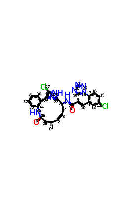 C[C@@H]1/C=C\CC(NC(=O)/C=C/c2cc(Cl)ccc2-n2cnnn2)c2nc(c(Cl)[nH]2)-c2ccccc2NC(=O)C1